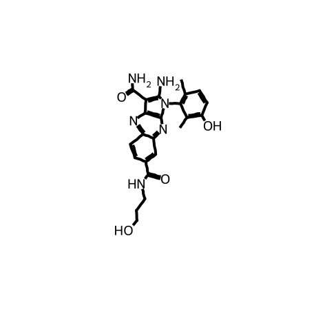 Cc1ccc(O)c(C)c1-n1c(N)c(C(N)=O)c2nc3ccc(C(=O)NCCCO)cc3nc21